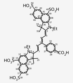 CCN1/C(=C/C=C(/C=C/C2N(CC)c3cc(S(=O)(=O)O)c4cc(S(=O)(=O)O)ccc4c3C2(C)C)c2ccc(C(=O)O)cc2)C(C)(C)c2c1cc(S(=O)(=O)O)c1cc(S(=O)(=O)O)ccc21